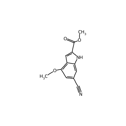 COC(=O)c1cc2c(OC)cc(C#N)cc2[nH]1